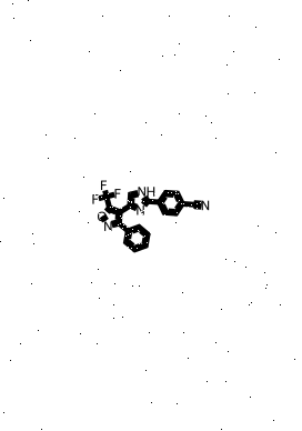 N#Cc1ccc(-c2nc(-c3c(-c4ccccc4)noc3C(F)(F)F)c[nH]2)cc1